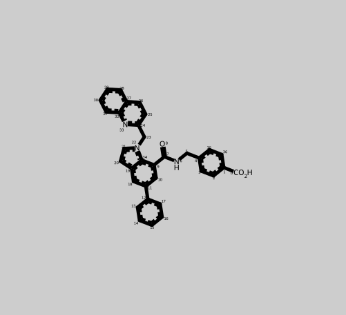 O=C(O)c1ccc(CNC(=O)c2cc(-c3ccccc3)cc3ccn(Cc4ccc5ccccc5n4)c23)cc1